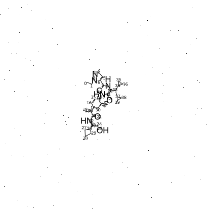 CCn1nccc1C(=O)N[C@H](C(=O)Nc1ccc([C@H](C)C(=O)N[C@@H](CO)C2CCC2)cc1F)C(C1CC1)C1CC1